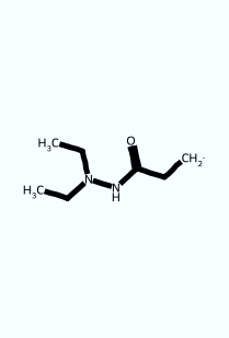 [CH2]CC(=O)NN(CC)CC